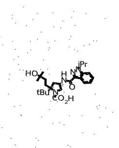 CC(C)n1nc(C(=O)N[C@@H]2CN(C(=O)O)[C@@](CCC(C)(C)O)(C(C)(C)C)C2)c2ccccc21